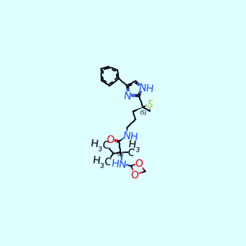 CC(C)[C@@](C)(NC1OCO1)C(=O)NCCC[C@]1(c2nc(-c3ccccc3)c[nH]2)CS1